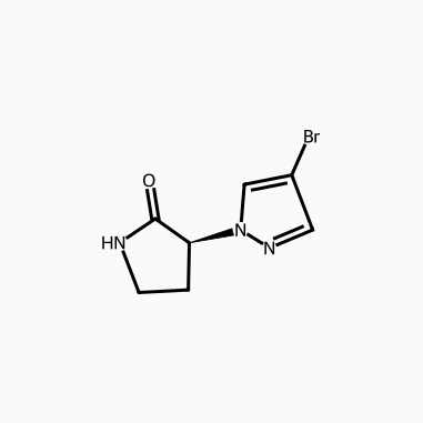 O=C1NCC[C@@H]1n1cc(Br)cn1